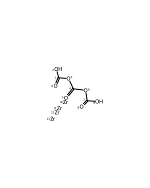 O=C(O)OC(=O)OC(=O)O.[Zr].[Zr].[Zr].[Zr]